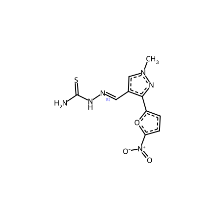 Cn1cc(/C=N/NC(N)=S)c(-c2ccc([N+](=O)[O-])o2)n1